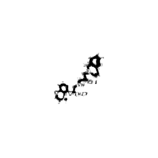 CN1CCOc2cccc(OC(C=O)CNCC(O)CN3CCc4ccccc4C3)c21